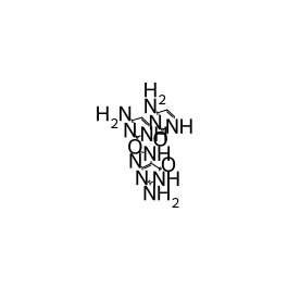 Nc1cc[nH]c(=O)n1.Nc1cc[nH]c(=O)n1.Nc1nc2nc[nH]c2c(=O)[nH]1